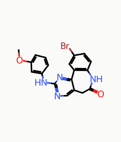 COc1cccc(Nc2ncc3c(n2)-c2cc(Br)ccc2NC(=O)C3)c1